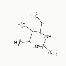 [CH2]C(=O)NC(CC)C(C)CC